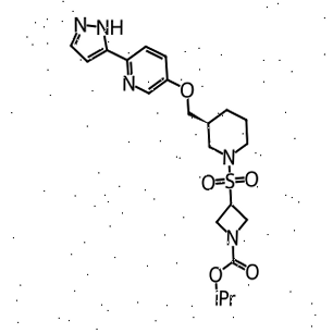 CC(C)OC(=O)N1CC(S(=O)(=O)N2CCC[C@H](COc3ccc(-c4ccn[nH]4)nc3)C2)C1